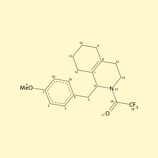 COc1ccc(CC2C3=C(CCCC3)CCN2C(=O)C(F)(F)F)cc1